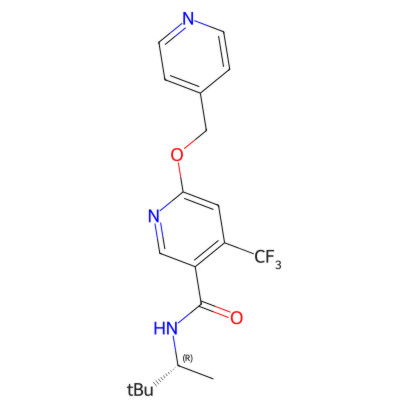 C[C@@H](NC(=O)c1cnc(OCc2ccncc2)cc1C(F)(F)F)C(C)(C)C